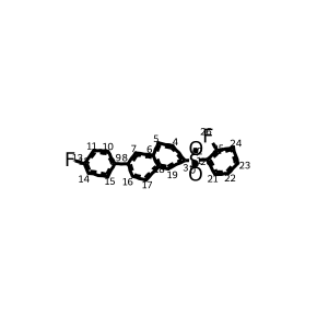 O=S(=O)(c1ccc2cc(-c3ccc(F)cc3)ccc2c1)c1ccccc1F